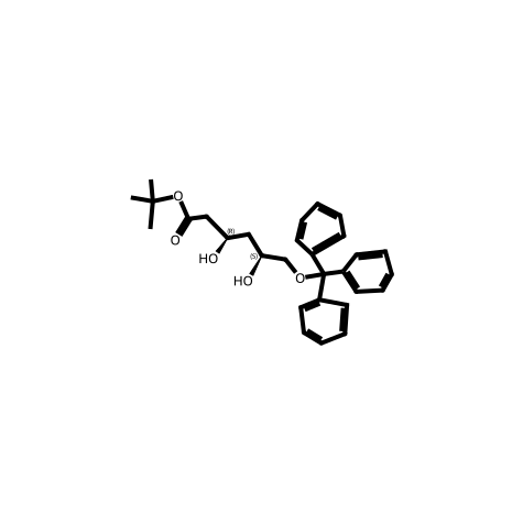 CC(C)(C)OC(=O)C[C@H](O)C[C@H](O)COC(c1ccccc1)(c1ccccc1)c1ccccc1